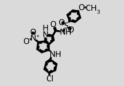 COc1ccc(S(=O)(=O)NC(=O)c2cc3c(Nc4ccc(Cl)cc4)ccc([N+](=O)[O-])c3[nH]2)cc1